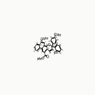 COC(=O)c1cc2c(cc(OC)c3ccccc32)c2c1C=CC(c1ccc(OC)cc1)(c1ccccc1F)O2